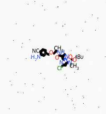 C[C@H](COCc1ccc(C#N)c(N)c1)NC(=O)c1cnn2c(N(C)C(=O)OC(C)(C)C)cc(Cl)nc12